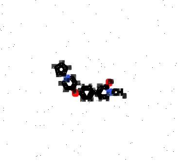 Cn1ccc(-c2ccc(OC3CCN(C4CCCC4)CC3)cc2)cc1=O